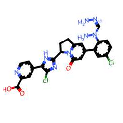 N/N=C\N(N)c1ccc(Cl)cc1-c1cc2n(c(=O)c1)C(c1nc(Cl)c(-c3ccnc(C(=O)O)c3)[nH]1)CC2